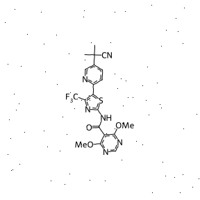 COc1ncnc(OC)c1C(=O)Nc1nc(C(F)(F)F)c(-c2ccc(C(C)(C)C#N)cn2)s1